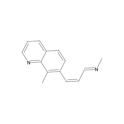 C/N=C/C=C\c1ccc2cccnc2c1C